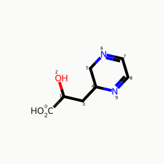 O=C(O)C(O)CC1CN=CC=N1